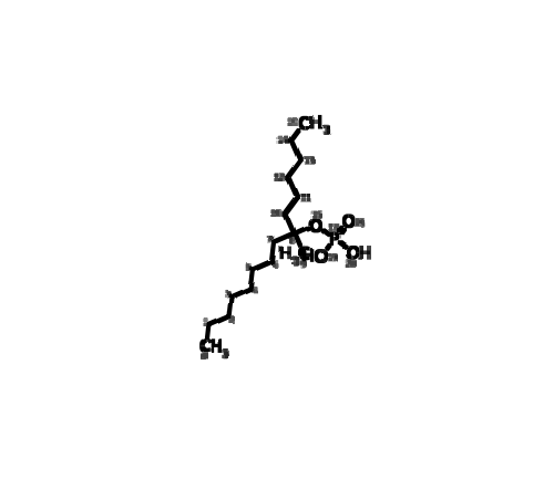 CCCCCCCCC(C)(CCCCCC)OP(=O)(O)O